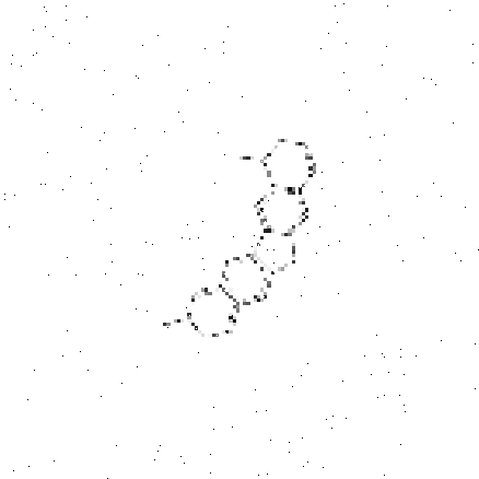 CC1C=c2cc3c(cc2=CC1)Cc1cc2c(cc1-3)C(C)CC=C2